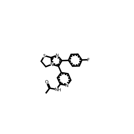 CC(=O)Nc1cc(-c2c(-c3ccc(F)cc3)nc3n2CCS3)ccn1